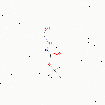 CC(C)(C)OC(=O)NNCO